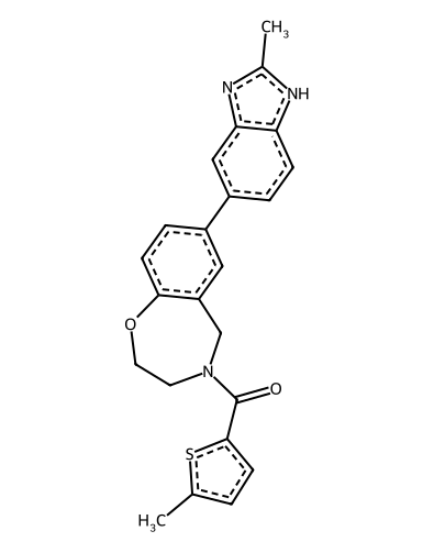 Cc1nc2cc(-c3ccc4c(c3)CN(C(=O)c3ccc(C)s3)CCO4)ccc2[nH]1